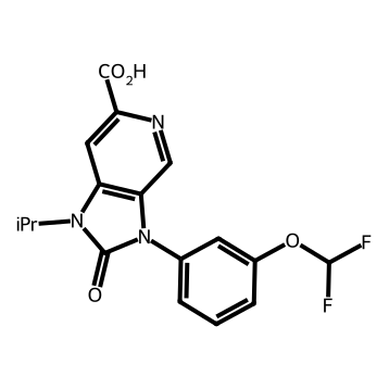 CC(C)n1c(=O)n(-c2cccc(OC(F)F)c2)c2cnc(C(=O)O)cc21